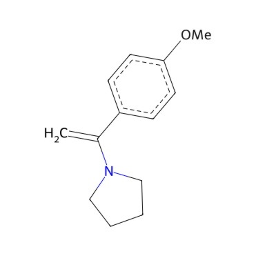 C=C(c1ccc(OC)cc1)N1CCCC1